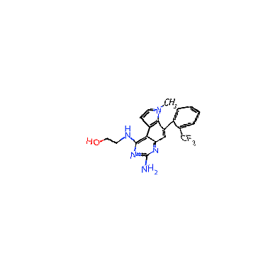 Cn1ccc2c3c(NCCO)nc(N)nc3cc(-c3ccccc3C(F)(F)F)c21